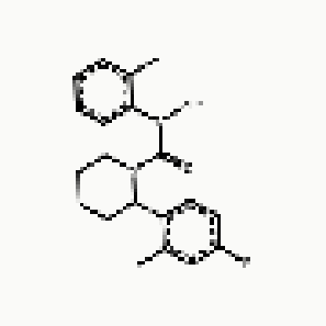 CCCN(C(=O)N1CCCCC1c1ccc(F)cc1C)c1ccccc1C